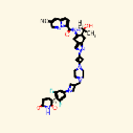 CC(C)(O)c1cc2nn(C34CC(N5CCN(CC6CN(c7cc(F)c([C@H]8CCC(=O)NC8=O)c(F)c7)C6)CC5)(C3)C4)cc2cc1NC(=O)c1ccc2cc(C#N)cnn12